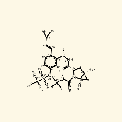 C[C@H](NC(=O)[C@@H]1C[C@H]2C[C@H]2N1C(=O)OC(C)(C)C)c1cc(OS(=O)(=O)C(F)(F)F)ccc1/C=C/C1CC1